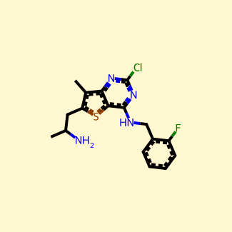 Cc1c(CC(C)N)sc2c(NCc3ccccc3F)nc(Cl)nc12